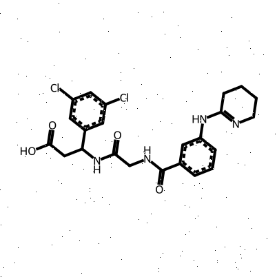 O=C(O)CC(NC(=O)CNC(=O)c1cccc(NC2=NCCCC2)c1)c1cc(Cl)cc(Cl)c1